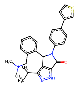 CC(C)c1n[nH]c2c1C(c1ccccc1CN(C)C)N(c1ccc(-c3ccsc3)cc1)C2=O